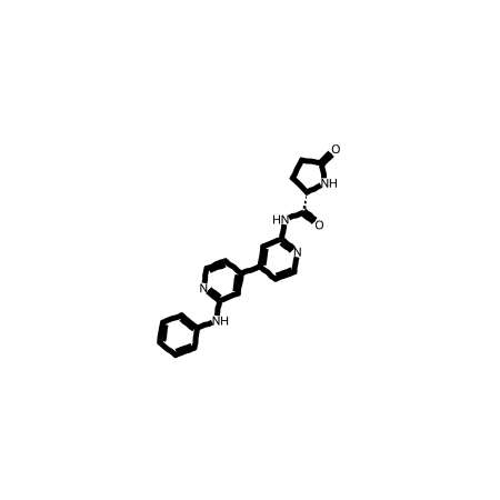 O=C1CC[C@@H](C(=O)Nc2cc(-c3ccnc(Nc4ccccc4)c3)ccn2)N1